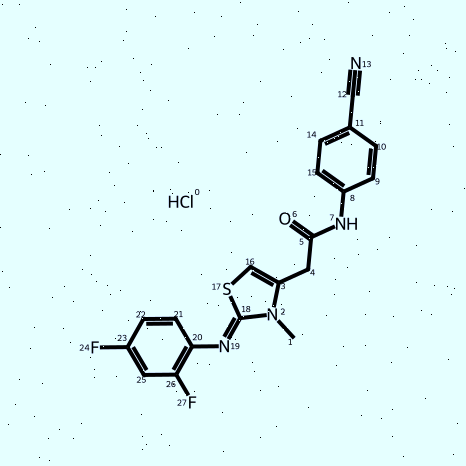 Cl.Cn1c(CC(=O)Nc2ccc(C#N)cc2)csc1=Nc1ccc(F)cc1F